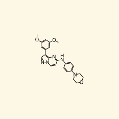 COc1cc(OC)cc(-c2cnn3ccc(Nc4ccc(N5CCOCC5)cc4)nc23)c1